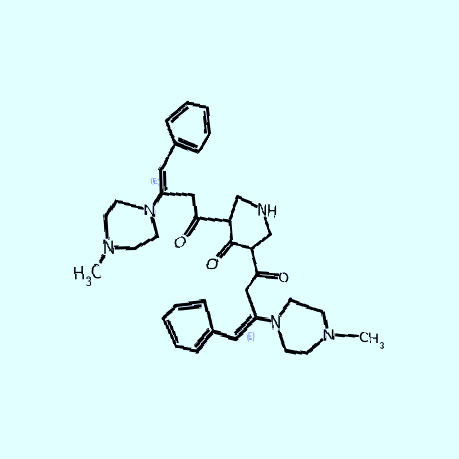 CN1CCN(/C(=C/c2ccccc2)CC(=O)C2CNCC(C(=O)C/C(=C\c3ccccc3)N3CCN(C)CC3)C2=O)CC1